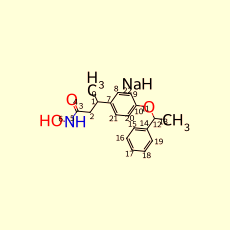 CC(CC(=O)NO)c1ccc(OC(C)c2ccccc2)cc1.[NaH]